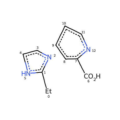 CCc1ncc[nH]1.O=C(O)c1ccccn1